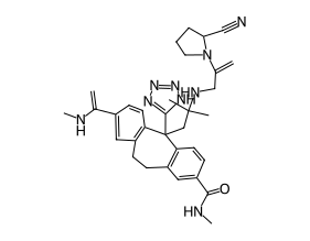 C=C(NC)c1ccc2c(c1)CCc1cc(C(=O)NC)ccc1C2(CC(C)(C)NCC(=C)N1CCCC1C#N)c1nnn[nH]1